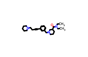 CCN(CC)C(=O)C1CCCN(Cc2cccc(C#CCCN3CCCCC3)c2)C1